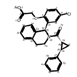 O=C(O)COc1ccc(Cl)cc1[C@@H]1c2ccccc2CCN1C(=O)[C@@H]1C[C@H]1c1ccccc1